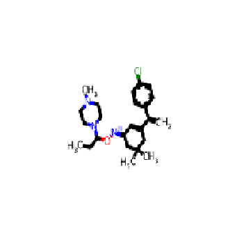 C=C(C1=C/C(=N/OC(CC)N2CCN(C)CC2)CC(C)(C)C1)c1ccc(Cl)cc1